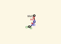 COc1ccccc1OCC(O)CN1CCN(CC(=O)NCCc2ccc(Cl)cc2Cl)CC1